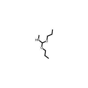 CCCOC(NC)OCCC